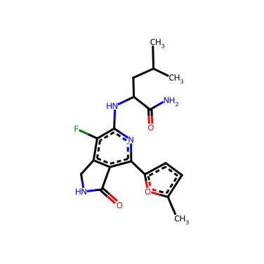 Cc1ccc(-c2nc(NC(CC(C)C)C(N)=O)c(F)c3c2C(=O)NC3)o1